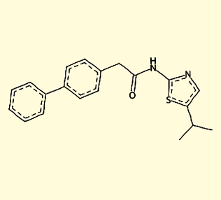 CC(C)c1cnc(NC(=O)Cc2ccc(-c3ccccc3)cc2)s1